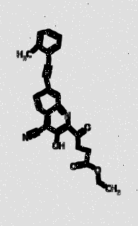 CCOC(=O)CCC(=O)c1nc2cc(C#Cc3ccccc3C)ccc2c(C#N)c1O